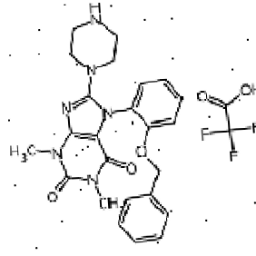 Cn1c(=O)c2c(nc(N3CCNCC3)n2-c2ccccc2OCc2ccccc2)n(C)c1=O.O=C(O)C(F)(F)F